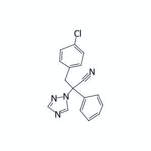 N#CC(Cc1ccc(Cl)cc1)(c1ccccc1)n1cncn1